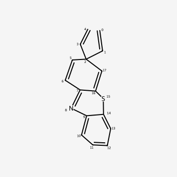 C=CC1(C=C)C=CC2=Nc3ccccc3SC2=C1